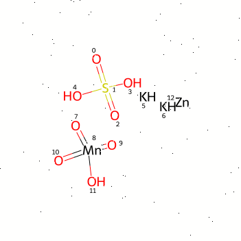 O=S(=O)(O)O.[KH].[KH].[O]=[Mn](=[O])(=[O])[OH].[Zn]